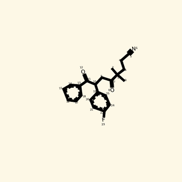 CC(C)(CCC#N)C(=O)CC(C(=O)c1ccccc1)c1ccc(F)cc1